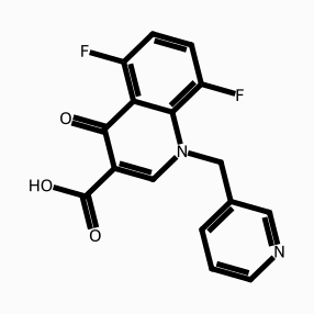 O=C(O)c1cn(Cc2cccnc2)c2c(F)ccc(F)c2c1=O